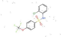 O=S(=O)(Nc1ccccc1Cl)c1ccc(OC(F)(F)F)cc1